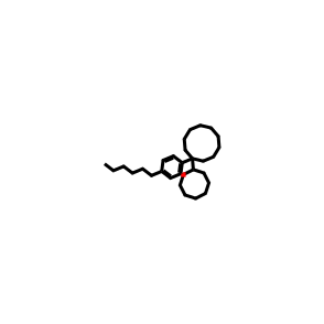 CCCCCCc1ccc(C2(C3CCCCCCC3)CCCCCCCCC2)cc1